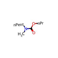 [CH2]CCCCN(C)C(=O)OCCC